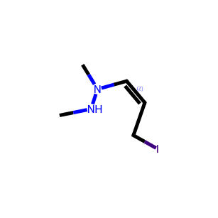 CNN(C)/C=C\CI